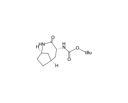 CC(C)(C)OC(=O)N[C@@H]1C[C@H]2CC[C@H](C2)NC1=O